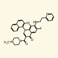 CN1CCN(C(=O)c2cn3c4c(c(NCCc5ccccn5)c(F)cc4c2=O)Oc2ccc4ccccc4c2-3)CC1